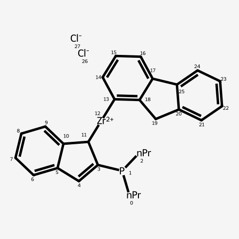 CCCP(CCC)C1=Cc2ccccc2[CH]1[Zr+2][c]1cccc2c1Cc1ccccc1-2.[Cl-].[Cl-]